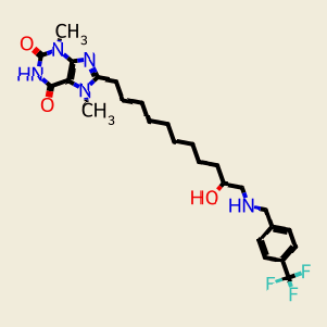 Cn1c(CCCCCCCCCC(O)CNCc2ccc(C(F)(F)F)cc2)nc2c1c(=O)[nH]c(=O)n2C